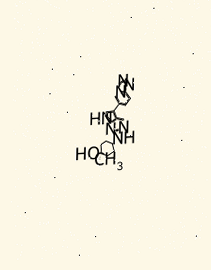 C[C@]1(O)CC[C@@H](Nc2ncc3c(-c4ccc5nncn5c4)c[nH]c3n2)CC1